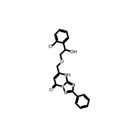 O=c1cc(COCC(O)c2ccccc2Cl)[nH]c2nc(-c3ccccc3)nn12